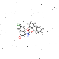 O=CC[C@H](NC(=O)OC1c2ccccc2-c2ccccc21)c1ccc(Cl)cc1